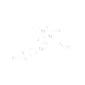 C[C@@H]1C(=O)N(C)c2ccc(Nc3ccc(S(C)(=O)=O)cc3)nc2N1C1CCN(C)CC1